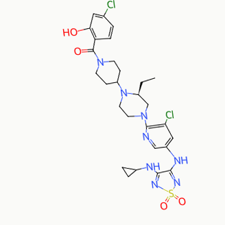 CC[C@H]1CN(c2ncc(NC3=NS(=O)(=O)N=C3NC3CC3)cc2Cl)CCN1C1CCN(C(=O)c2ccc(Cl)cc2O)CC1